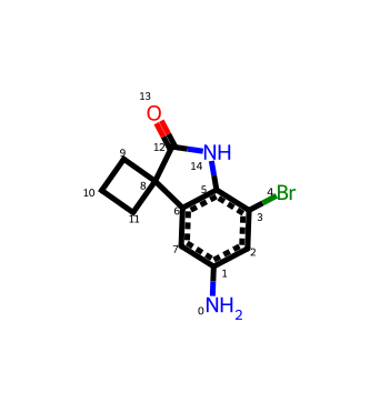 Nc1cc(Br)c2c(c1)C1(CCC1)C(=O)N2